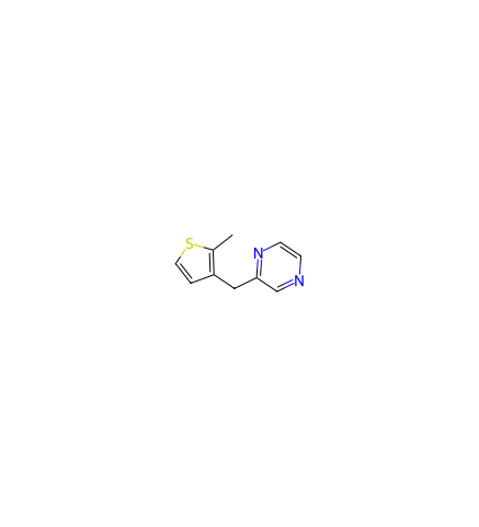 Cc1sccc1Cc1cnccn1